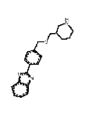 c1ccc2oc(-c3ccc(COCC4CCCNC4)cc3)nc2c1